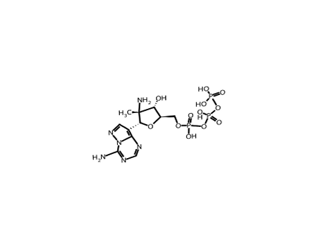 C[C@]1(N)[C@@H](c2cnn3c(N)ncnc23)O[C@H](COP(=O)(O)OP(=O)(O)OP(=O)(O)O)[C@H]1O